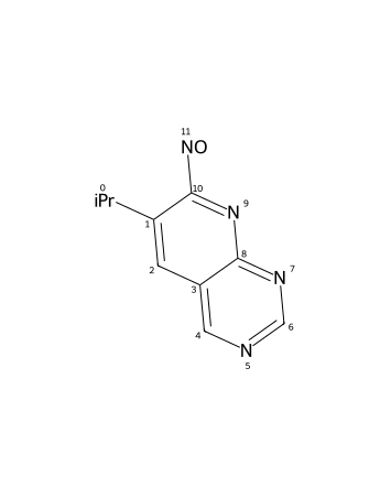 CC(C)c1cc2cncnc2nc1N=O